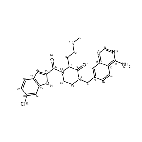 CSCCC1C(=O)N(Cc2ccc3c(N)ncnc3c2)CCN1C(=O)c1cc2ccc(Cl)cc2o1